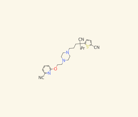 CC(C)C(C#N)(CCCN1CCN(CCOc2cccc(C#N)n2)CC1)c1ccc(C#N)s1